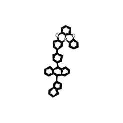 c1ccc2c(c1)Oc1cccc3c1B2c1cc(-c2ccc(-c4c5ccccc5c(-c5ccc6ccccc6c5)c5ccccc45)cc2)ccc1O3